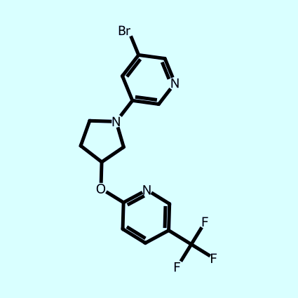 FC(F)(F)c1ccc(OC2CCN(c3cncc(Br)c3)C2)nc1